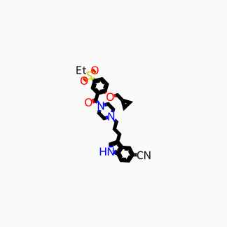 CCS(=O)(=O)c1ccc(OCC2CC2)c(C(=O)N2CCN(CCCc3c[nH]c4ccc(C#N)cc34)CC2)c1